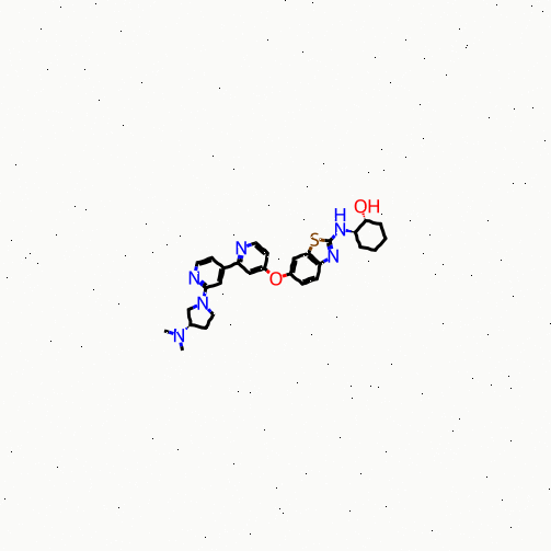 CN(C)[C@H]1CCN(c2cc(-c3cc(Oc4ccc5nc(N[C@@H]6CCCC[C@H]6O)sc5c4)ccn3)ccn2)C1